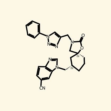 N#Cc1ccc2ncn(C[C@H]3CCC[C@]4(C3)CN(Cc3cn(-c5ccccc5)nn3)C(=O)O4)c2c1